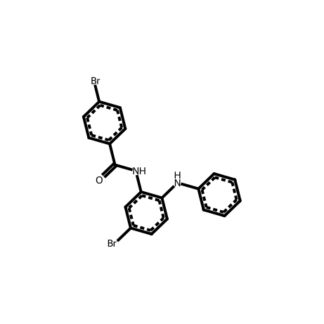 O=C(Nc1cc(Br)ccc1Nc1ccccc1)c1ccc(Br)cc1